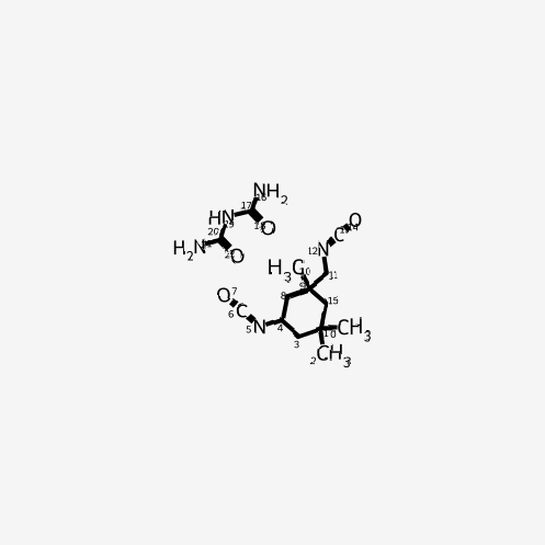 CC1(C)CC(N=C=O)CC(C)(CN=C=O)C1.NC(=O)NC(N)=O